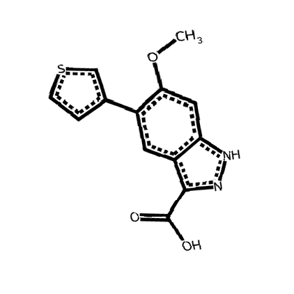 COc1cc2[nH]nc(C(=O)O)c2cc1-c1ccsc1